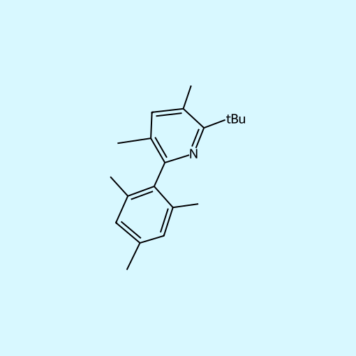 Cc1cc(C)c(-c2nc(C(C)(C)C)c(C)cc2C)c(C)c1